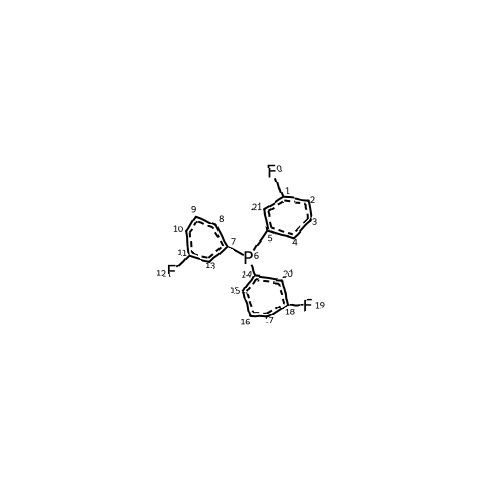 Fc1cccc(P(c2cccc(F)c2)c2cccc(F)c2)c1